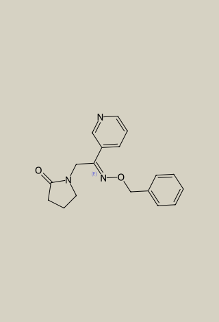 O=C1CCCN1C/C(=N/OCc1ccccc1)c1cccnc1